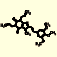 C=CCn1c(=O)c2c(nc(C=Cc3cc(OC)c(OC)c(OC)c3)n2C)n(CC=C)c1=O